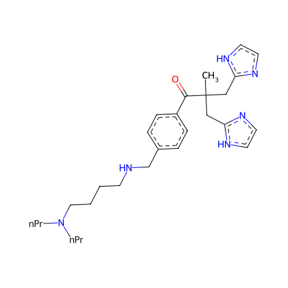 CCCN(CCC)CCCCNCc1ccc(C(=O)C(C)(Cc2ncc[nH]2)Cc2ncc[nH]2)cc1